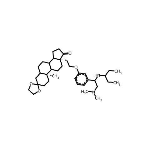 CCC(CC)NC(CN(C)C)c1cccc(OCC[C@]23CCC4C(CCC5CC6(CC[C@@]54C)OCCO6)C2CCC3=O)c1